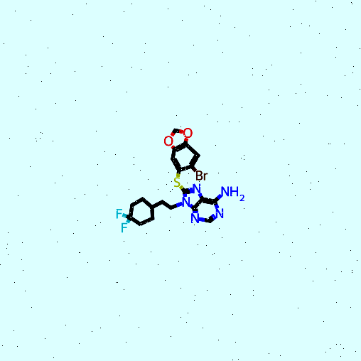 Nc1ncnc2c1nc(Sc1cc3c(cc1Br)OCO3)n2CCC1CCC(F)(F)CC1